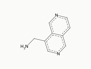 NCc1cncc2ccncc12